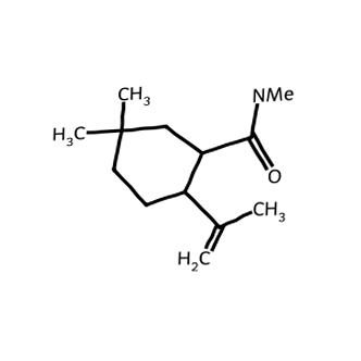 C=C(C)C1CCC(C)(C)CC1C(=O)NC